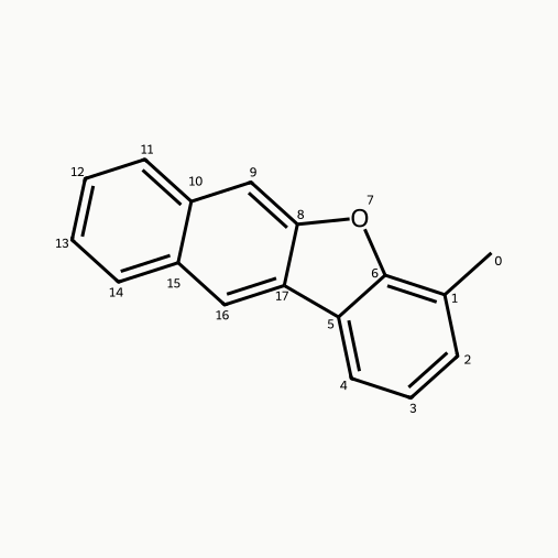 Cc1cccc2c1oc1cc3ccccc3cc12